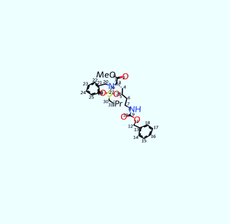 COC(=O)[C@H](CCCCNC(=O)OCc1ccccc1)N(Cc1ccccc1)S(=O)(=O)CC(C)C